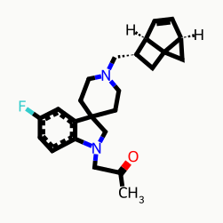 CC(=O)CN1CC2(CCN(C[C@H]3CC45C[C@@H]4C=C[C@H]35)CC2)c2cc(F)ccc21